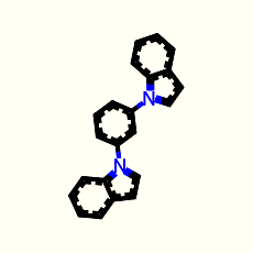 c1cc(-n2ccc3ccccc32)cc(-n2ccc3ccccc32)c1